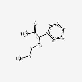 NCCOC(C(N)=O)c1ccccc1